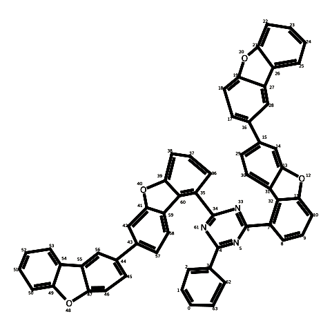 c1ccc(-c2nc(-c3cccc4oc5cc(-c6ccc7oc8ccccc8c7c6)ccc5c34)nc(-c3cccc4oc5cc(-c6ccc7oc8ccccc8c7c6)ccc5c34)n2)cc1